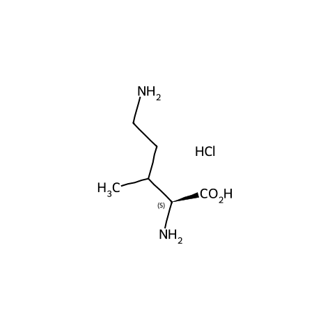 CC(CCN)[C@H](N)C(=O)O.Cl